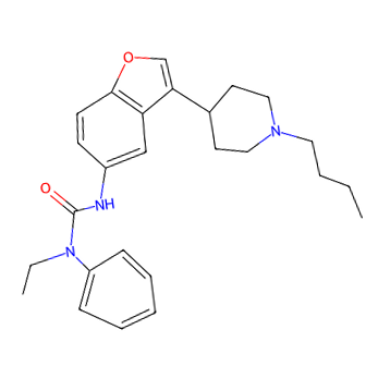 CCCCN1CCC(c2coc3ccc(NC(=O)N(CC)c4ccccc4)cc23)CC1